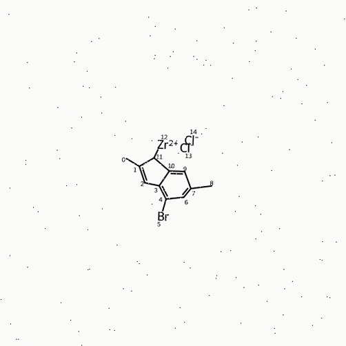 CC1=Cc2c(Br)cc(C)cc2[CH]1[Zr+2].[Cl-].[Cl-]